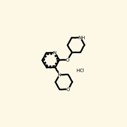 Cl.c1cnc(OC2CCNCC2)c(N2CCOCC2)c1